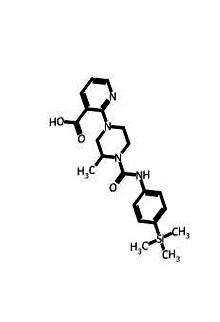 CC1CN(c2ncccc2C(=O)O)CCN1C(=O)Nc1ccc([Si](C)(C)C)cc1